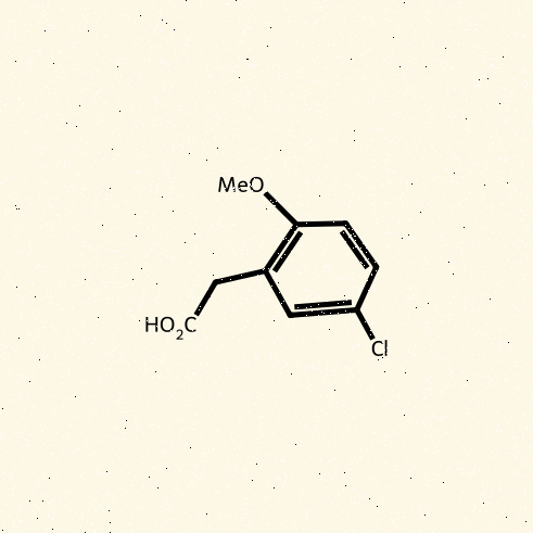 COc1ccc(Cl)cc1CC(=O)O